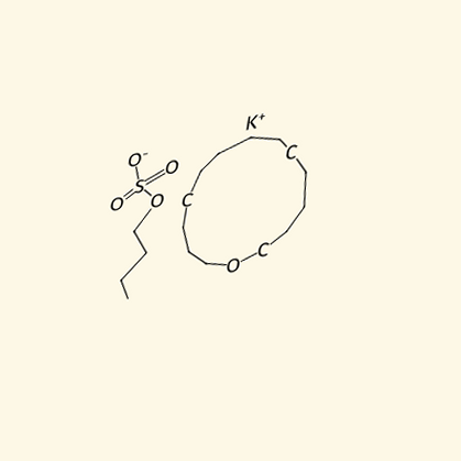 C1CCCCCCOCCCCCC1.CCCCOS(=O)(=O)[O-].[K+]